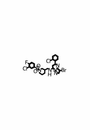 O=S(=O)(c1ccc(F)c(Cl)c1)N1CCCC(CNc2cc(-c3ccccc3Cl)nc3c(Br)cnn23)C1